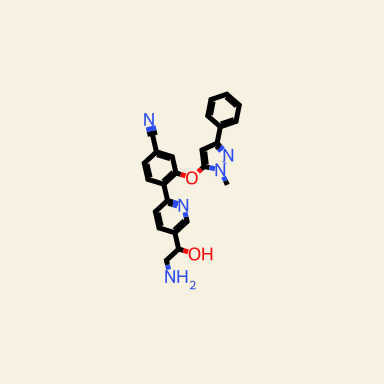 Cn1nc(-c2ccccc2)cc1Oc1cc(C#N)ccc1-c1ccc(C(O)CN)cn1